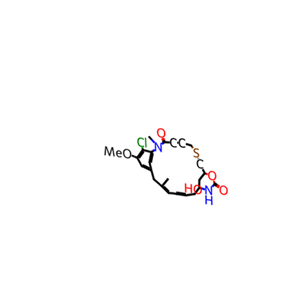 COc1cc2cc(c1Cl)N(C)C(=O)CCCSCC1C[C@](O)(C/C=C/C=C(\C)C2)NC(=O)O1